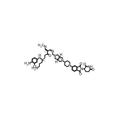 C=N/C=C(\C=N/CN1C[C@@H]2CN(C3CCN(c4ccc5c(c4)C(=O)N(C4CCC(=O)NC4=O)C5=O)CC3)C[C@@H]2C1)C(=O)CC[C@@H](CCCN)Nc1ccc(N)c(Cl)c1